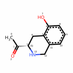 CC(=O)[C@@H]1Cc2c(O)cccc2CN1